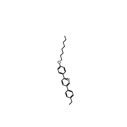 CCCCCCCCOc1ccc(-c2ccc(-c3ccc(CC)cc3)cn2)cc1